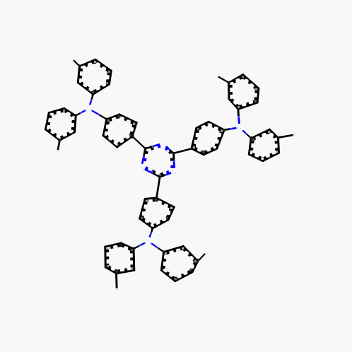 Cc1cccc(N(c2ccc(-c3nc(-c4ccc(N(c5cccc(C)c5)c5cccc(C)c5)cc4)nc(-c4ccc(N(c5cccc(C)c5)c5cccc(C)c5)cc4)n3)cc2)c2cccc(C)c2)c1